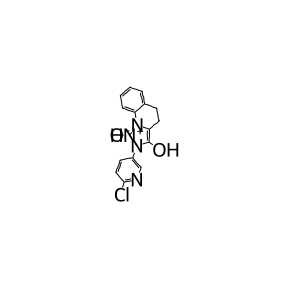 [O-][NH+]1N(c2ccc(Cl)nc2)C(O)=C2CCc3ccccc3N21